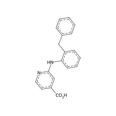 O=C(O)c1ccnc(Nc2ccccc2Cc2ccccc2)c1